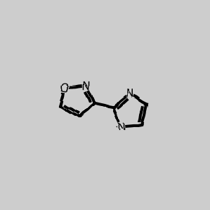 C1=CN=C(c2ccon2)[N]1